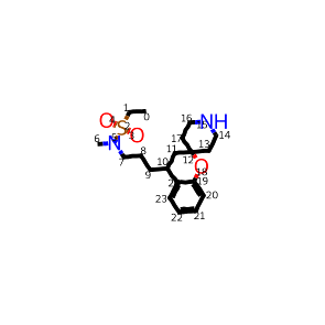 CCS(=O)(=O)N(C)CCCC1CC2(CCNCC2)Oc2ccccc21